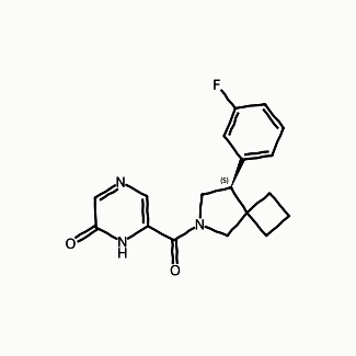 O=C(c1cncc(=O)[nH]1)N1C[C@@H](c2cccc(F)c2)C2(CCC2)C1